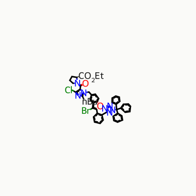 CCCCc1nc(Cl)c(C(=O)N2CCC[C@H]2C(=O)OCC)n1Cc1ccc2oc(-c3ccccc3-c3nnn(C(c4ccccc4)(c4ccccc4)c4ccccc4)n3)c(Br)c2c1